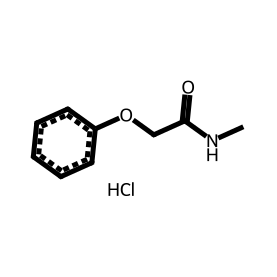 CNC(=O)COc1ccccc1.Cl